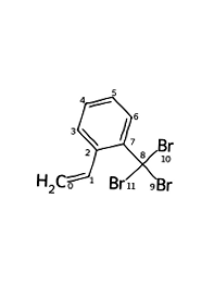 C=Cc1ccccc1C(Br)(Br)Br